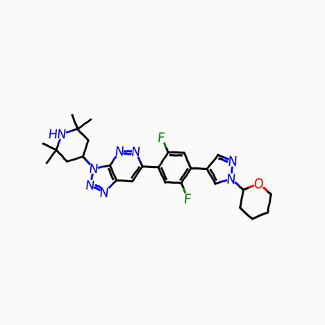 CC1(C)CC(n2nnc3cc(-c4cc(F)c(-c5cnn(C6CCCCO6)c5)cc4F)nnc32)CC(C)(C)N1